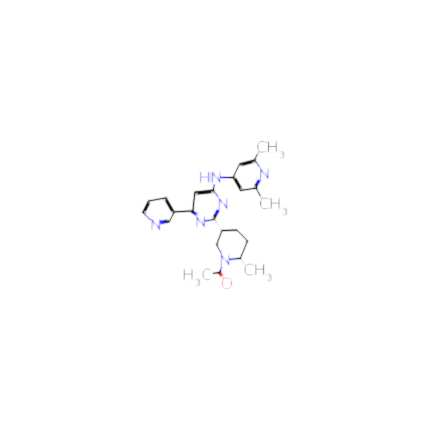 CC(=O)N1C[C@H](c2nc(Nc3cc(C)nc(C)c3)cc(-c3cccnc3)n2)CC[C@@H]1C